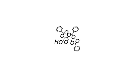 O=C(OC[C@@H]1OC(O)[C@H](OC(=O)c2ccccc2)[C@@H]1OC(=O)c1ccccc1)c1ccccc1